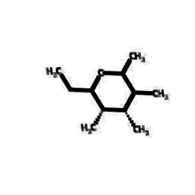 CCC1OC(C)C(C)[C@H](C)[C@@H]1C